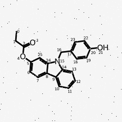 CCC(=O)Oc1ccc2c3ccccc3n(Cc3ccc(O)cc3)c2c1